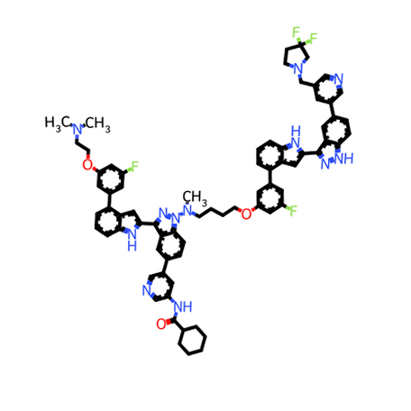 CN(C)CCOc1cc(F)cc(-c2cccc3[nH]c(-c4nn(N(C)CCCCOc5cc(F)cc(-c6cccc7[nH]c(-c8n[nH]c9ccc(-c%10cncc(CN%11CCC(F)(F)C%11)c%10)cc89)cc67)c5)c5ccc(-c6cncc(NC(=O)C7CCCCC7)c6)cc45)cc23)c1